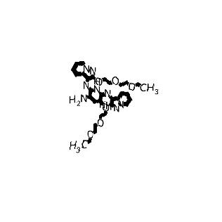 CCOCCOCCOc1nn2ccccc2c1N=C1NC(=Nc2c(OCCOCCOCC)nn3ccccc23)C(N)=CC1=N